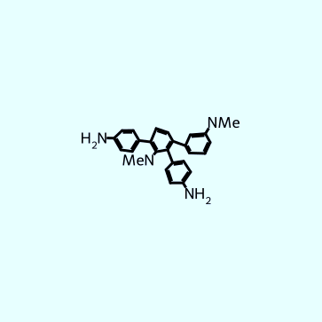 CNc1cccc(-c2ccc(-c3ccc(N)cc3)c(NC)c2-c2ccc(N)cc2)c1